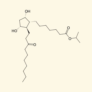 CCCCCCCC(=O)CC[C@@H]1[C@@H](CCCCCCC(=O)OC(C)C)[C@@H](O)C[C@H]1O